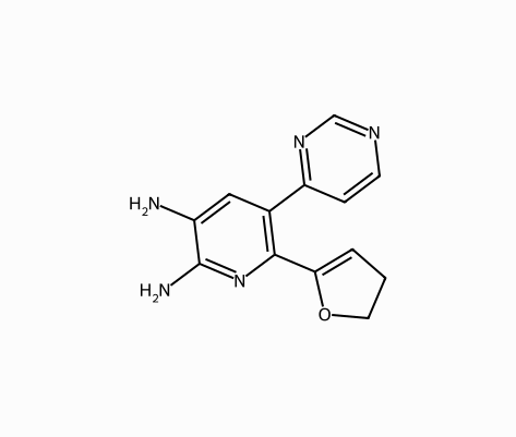 Nc1cc(-c2ccncn2)c(C2=CCCO2)nc1N